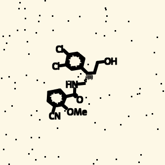 COc1c(C#N)cccc1C(=O)NC[C@@H](CCO)c1ccc(Cl)c(Cl)c1